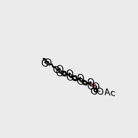 C=CC(=O)OCCCCOC(=O)Oc1ccc(C(=O)Oc2ccc(C(=O)Oc3ccc(C(=O)O[C@H]4COC5C4OC[C@@H]5OC(C)=O)cc3)cc2)cc1